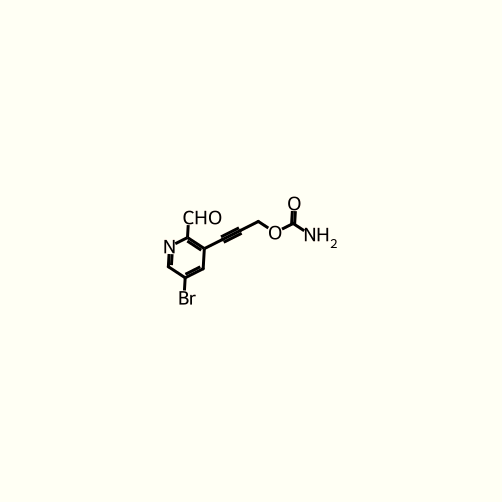 NC(=O)OCC#Cc1cc(Br)cnc1C=O